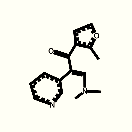 Cc1occc1C(=O)C(=CN(C)C)c1cccnc1